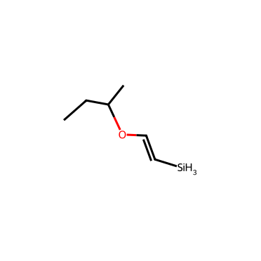 CCC(C)OC=C[SiH3]